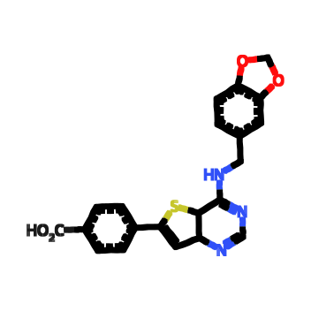 O=C(O)c1ccc(C2=CC3N=CN=C(NCc4ccc5c(c4)OCO5)C3S2)cc1